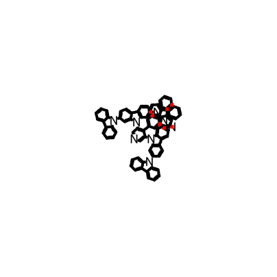 N#Cc1cccc(-c2c(-n3c4cc(-n5c6ccccc6c6ccccc65)ccc4c4ccc(-n5c6ccccc6c6ccccc65)cc43)cncc2-n2c3cc(-n4c5ccccc5c5ccccc54)ccc3c3ccc(-n4c5ccccc5c5ccccc54)cc32)c1